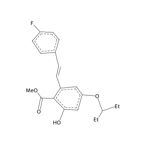 CCC(CC)Oc1cc(O)c(C(=O)OC)c(C=Cc2ccc(F)cc2)c1